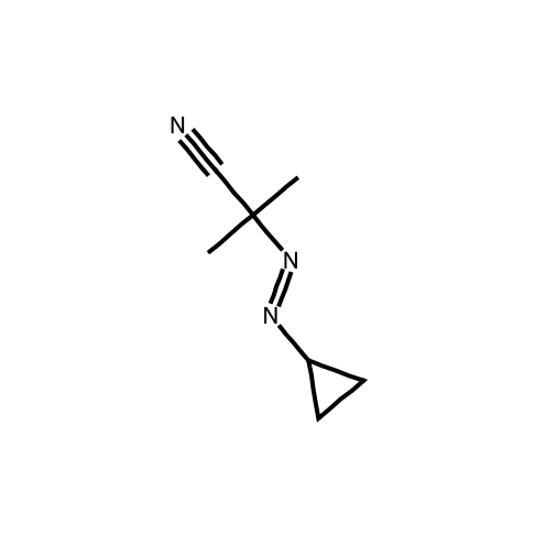 CC(C)(C#N)N=NC1CC1